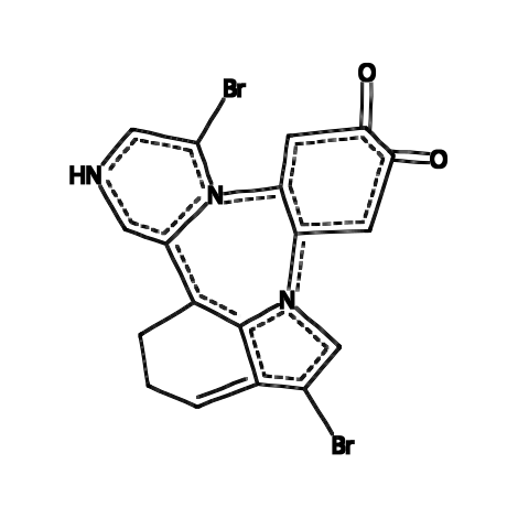 O=c1cc2c(cc1=O)n1c(Br)c[nH]cc1c1c3c(c(Br)cn32)=CCC1